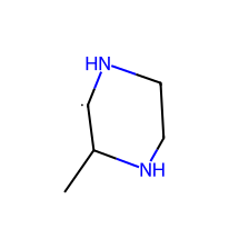 CC1[CH]NCCN1